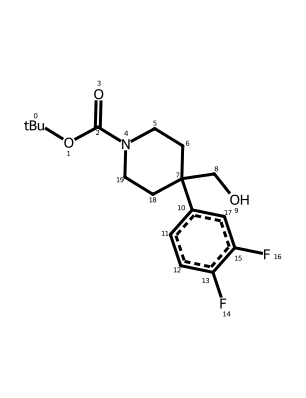 CC(C)(C)OC(=O)N1CCC(CO)(c2ccc(F)c(F)c2)CC1